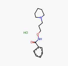 Cl.O=C(NOCCCN1CCCCC1)c1ccccc1